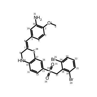 COc1ccc(C=C2CNc3ccc(S(=O)(=O)Cc4c(Br)cccc4Br)cc3S2)cc1N